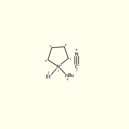 CCCC[N+]1(CC)CCCC1.[C-]#N